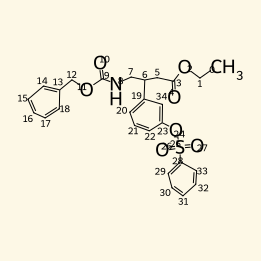 CCOC(=O)CC(CNC(=O)OCc1ccccc1)c1cccc(OS(=O)(=O)c2ccccc2)c1